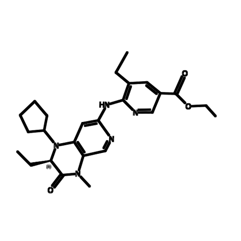 CCOC(=O)c1cnc(Nc2cc3c(cn2)N(C)C(=O)[C@@H](CC)N3C2CCCC2)c(CC)c1